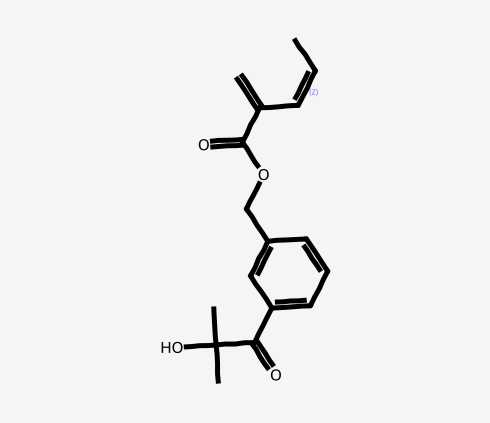 C=C(/C=C\C)C(=O)OCc1cccc(C(=O)C(C)(C)O)c1